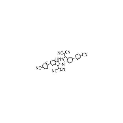 CN1C2=C(NC3c4ccc(-c5ccc(C#N)cc5)cc4C(=C(C#N)C#N)C31)C(=C(C#N)C#N)c1cc(-c3ccc(C#N)cc3)ccc12